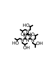 CC(O)CN(CC(C)O)c1nc(N(CC(C)O)CC(C)O)nc(N(CC(C)O)CC(C)O)n1